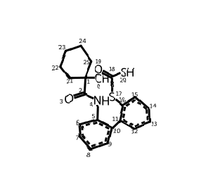 CC1(C(=O)Nc2ccccc2-c2ccccc2SC(=O)S)CCCCC1